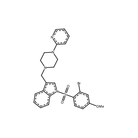 COc1ccc(S(=O)(=O)n2cc(CN3CCN(c4ccccn4)CC3)c3ccccc32)c(Br)c1